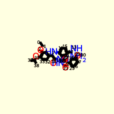 CCOc1cc(C(Nc2ccc(C(=N)N)cc2)C(=O)NNS(=O)(=O)c2cccc(OC)c2)ccc1OC(C)C